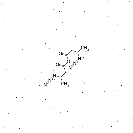 CC(CC(=O)OC(=O)CC(C)N=[N+]=[N-])N=[N+]=[N-]